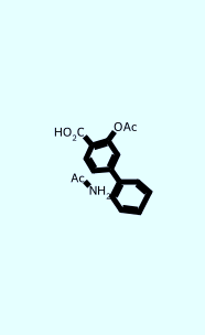 CC(=O)Oc1cc(-c2ccccc2)ccc1C(=O)O.CC(N)=O